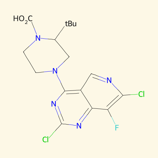 CC(C)(C)C1CN(c2nc(Cl)nc3c(F)c(Cl)ncc23)CCN1C(=O)O